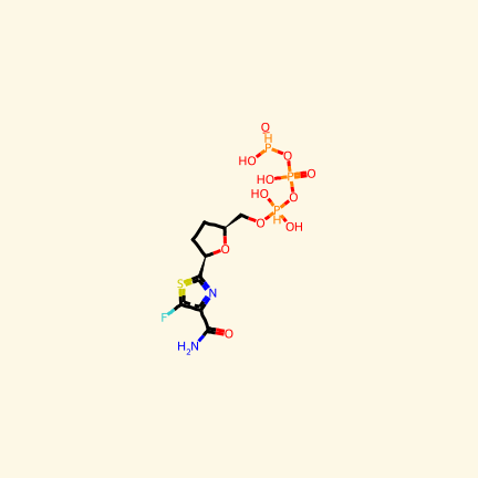 NC(=O)c1nc([C@H]2CC[C@@H](CO[PH](O)(O)OP(=O)(O)O[PH](=O)O)O2)sc1F